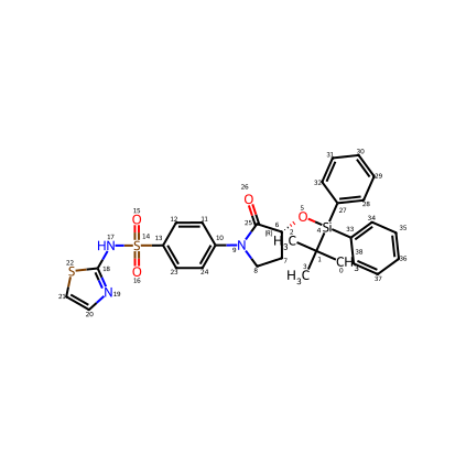 CC(C)(C)[Si](O[C@@H]1CCN(c2ccc(S(=O)(=O)Nc3nccs3)cc2)C1=O)(c1ccccc1)c1ccccc1